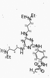 CCN(CC)CCCNc1nc(NCCCN(CC)CC)nc(Nc2ccc(NS(C)(=O)=O)cc2)n1